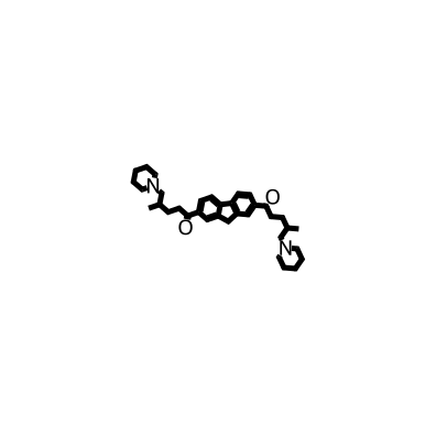 CC(CCC(=O)c1ccc2c(c1)Cc1cc(C(=O)CCC(C)CN3CCCCC3)ccc1-2)CN1CCCCC1